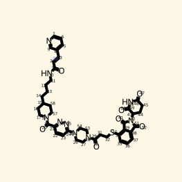 O=C(/C=C/c1cccnc1)NCCCCC1CCN(C(=O)c2ccc(N3CCN(C(=O)CCSc4cccc5c4C(=O)N(C4CCC(=O)NC4=O)C5=O)CC3)nn2)CC1